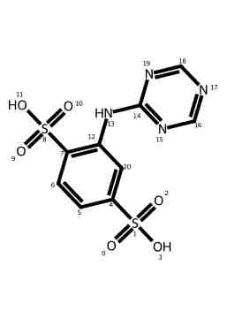 O=S(=O)(O)c1ccc(S(=O)(=O)O)c(Nc2ncncn2)c1